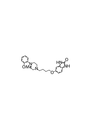 COc1ccccc1N1CCN(CCCCOc2ccc3[nH]c(=O)[nH]c3c2)CC1